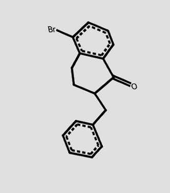 O=C1c2cccc(Br)c2CCC1Cc1ccccc1